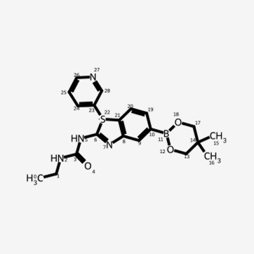 CCNC(=O)NC1=Nc2cc(B3OCC(C)(C)CO3)ccc2[S]1c1cccnc1